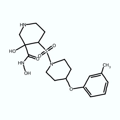 Cc1cccc(OC2CCN(S(=O)(=O)C3CCNCC3(O)C(=O)NO)CC2)c1